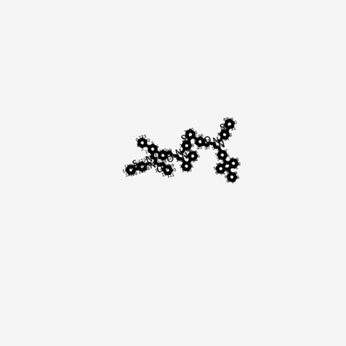 c1ccc(-c2ccc(-c3ccc4oc(-c5cc(-c6ccccc6-c6ccccc6)nc(-c6ccc7c(c6)sc6cccc(-c8ccc9cc(-c%10cc(-c%11ccc(-c%12c%13ccccc%13c(-c%13ccccc%13)c%13ccccc%12%13)cc%11)nc(-c%11ccc%12c(c%11)sc%11ccccc%11%12)n%10)oc9c8)c67)n5)cc4c3)c(-c3cc(-c4cc5ccccc5o4)nc(-c4ccc5c(c4)sc4ccccc45)n3)c2)cc1